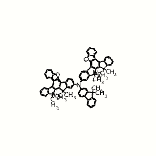 CC1(C)c2ccccc2-c2ccc(N(c3ccc4c(c3)C(C)(C)c3c5c(c6c(oc7ccccc76)c3-4)-c3ccccc3C5(C)C)c3ccc4c(c3)C(C)(C)c3c5c(c6c(oc7ccccc76)c3-4)-c3ccccc3C5(C)C)cc21